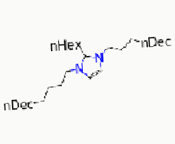 CCCCCCCCCCCCCCN1C=CN(CCCCCCCCCCCCC)C1CCCCCC